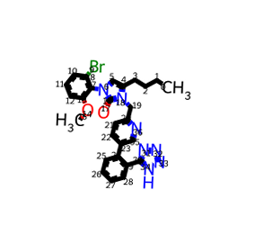 CCCCc1cn(-c2c(Br)cccc2OC)c(=O)n1Cc1ccc(-c2ccccc2-c2nnn[nH]2)cn1